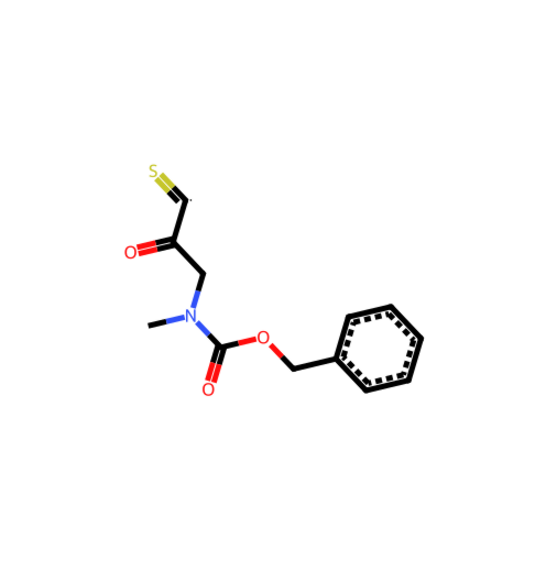 CN(CC(=O)[C]=S)C(=O)OCc1ccccc1